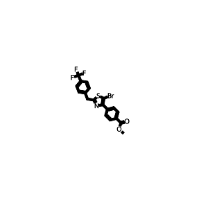 COC(=O)c1ccc(-c2nc(Cc3ccc(C(F)(F)F)cc3)sc2Br)cc1